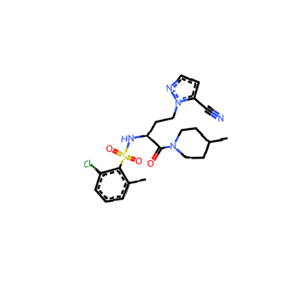 Cc1cccc(Cl)c1S(=O)(=O)NC(CCn1nccc1C#N)C(=O)N1CCC(C)CC1